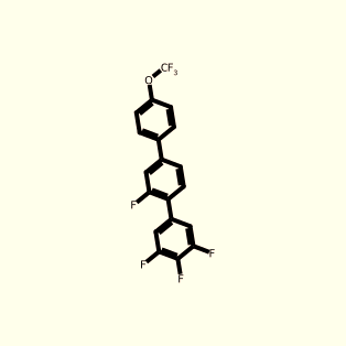 Fc1cc(-c2ccc(OC(F)(F)F)cc2)ccc1-c1cc(F)c(F)c(F)c1